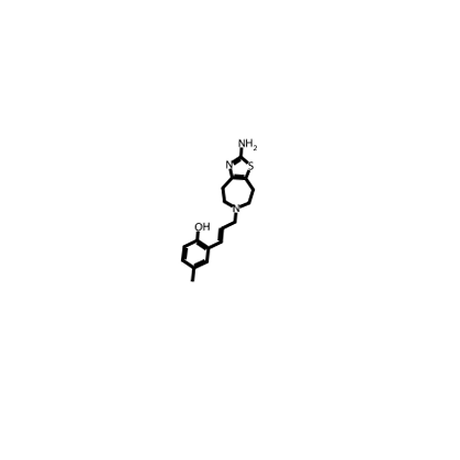 Cc1ccc(O)c(/C=C/CN2CCc3nc(N)sc3CC2)c1